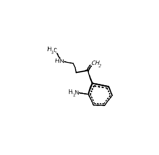 C=C(CCNC)c1ccccc1N